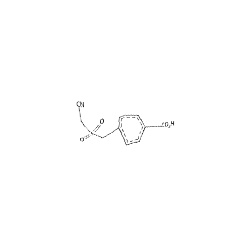 N#CCS(=O)(=O)Cc1ccc(C(=O)O)cc1